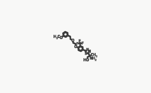 COc1cccc(CCOCCOc2ccc(-c3nnc([C@@](C)(N)CO)s3)cc2C(F)(F)F)c1